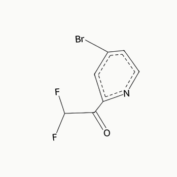 O=C(c1cc(Br)ccn1)C(F)F